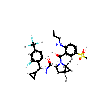 CCCNc1ccc(S(C)(=O)=O)cc1C(=O)N1[C@@H](C(=O)N[C@@H](c2ccc(C(F)(F)F)cc2F)C2CC2)C[C@H]2C[C@H]21